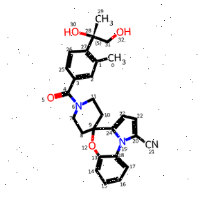 Cc1cc(C(=O)N2CCC3(CC2)Oc2ccccc2-n2c(C#N)ccc23)ccc1[C@](C)(O)CO